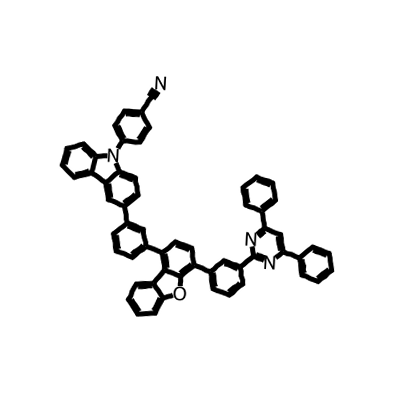 N#Cc1ccc(-n2c3ccccc3c3cc(-c4cccc(-c5ccc(-c6cccc(-c7nc(-c8ccccc8)cc(-c8ccccc8)n7)c6)c6oc7ccccc7c56)c4)ccc32)cc1